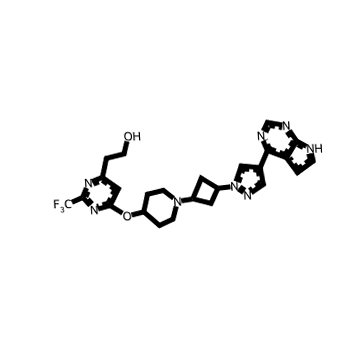 OCCc1cc(OC2CCN(C3CC(n4cc(-c5ncnc6[nH]ccc56)cn4)C3)CC2)nc(C(F)(F)F)n1